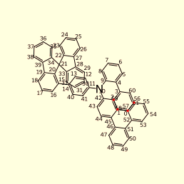 c1ccc(-c2ccccc2N(c2ccc(-c3cccc4c3C3(c5ccccc5-c5ccccc53)c3ccccc3-4)cc2)c2ccc3c4ccccc4c4ccccc4c3c2)cc1